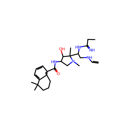 C=CNCC(NC(=N)CC)C1(C)C(O)C(NC(=O)c2cccc3c2CCCC3(C)C)CN1C